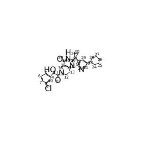 O=C([C@H](O)c1cccc(Cl)c1)N1CCc2nc(C3(c4cncc(C5CCCCC5)c4)CC3)[nH]c(=O)c2C1